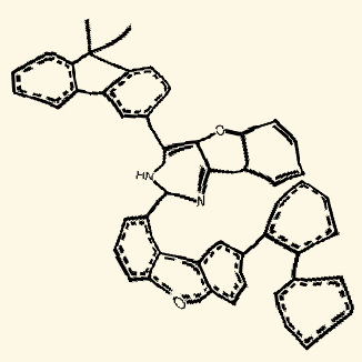 CC1(C)c2ccccc2-c2cc(C3=C4OC5C=CC=CC5C4=NC(c4cccc5oc6ccc(-c7ccccc7-c7ccccc7)cc6c45)N3)ccc21